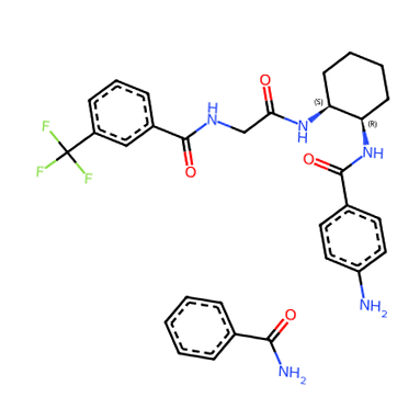 NC(=O)c1ccccc1.Nc1ccc(C(=O)N[C@@H]2CCCC[C@@H]2NC(=O)CNC(=O)c2cccc(C(F)(F)F)c2)cc1